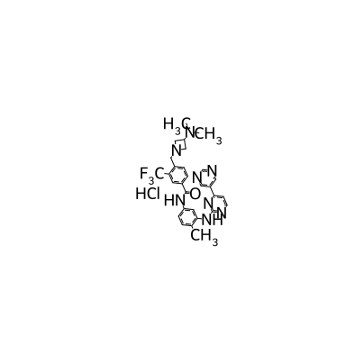 Cc1ccc(NC(=O)c2ccc(CN3CC(N(C)C)C3)c(C(F)(F)F)c2)cc1Nc1nccc(-c2cncnc2)n1.Cl